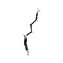 S=C=NCCCS